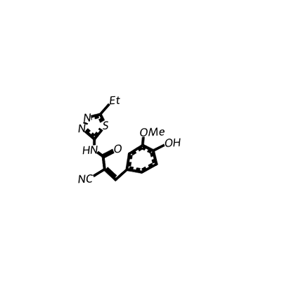 CCc1nnc(NC(=O)C(C#N)=Cc2ccc(O)c(OC)c2)s1